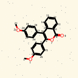 COc1ccc(-c2oc(=O)c3ccccc3c2-c2ccc(OC)cc2)cc1